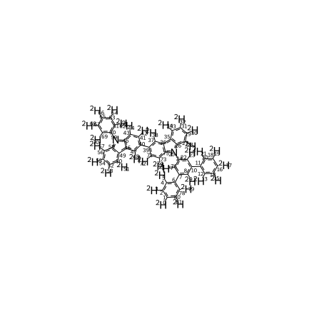 [2H]c1c([2H])c([2H])c(-c2c([2H])c(-c3c([2H])c([2H])c([2H])c([2H])c3[2H])c([2H])c(-n3c4c([2H])c([2H])c([2H])c([2H])c4c4c([2H])c(-c5c([2H])c([2H])c6c(c5[2H])c5c([2H])c([2H])c([2H])c([2H])c5n6-c5c([2H])c([2H])c([2H])c([2H])c5[2H])c([2H])c([2H])c43)c2[2H])c([2H])c1[2H]